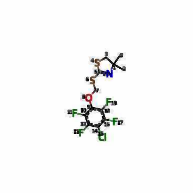 CC1(C)CSC(SCOc2c(F)c(F)c(Cl)c(F)c2F)=N1